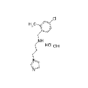 Cc1cc(Cl)ccc1CNCCCn1ccnc1.Cl.Cl